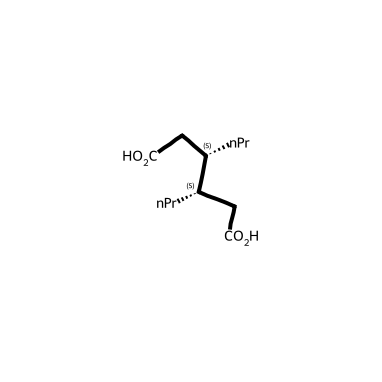 CCC[C@@H](CC(=O)O)[C@@H](CCC)CC(=O)O